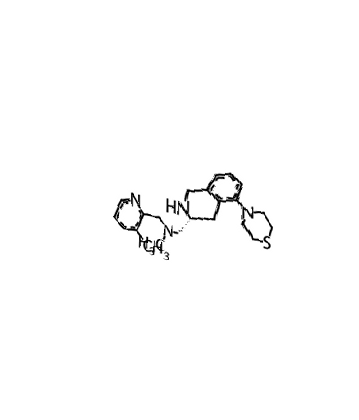 Cc1cccnc1CN(C)C[C@H]1Cc2c(cccc2N2CCSCC2)CN1